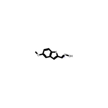 COc1ccc2sc(/C=N/O)cc2c1